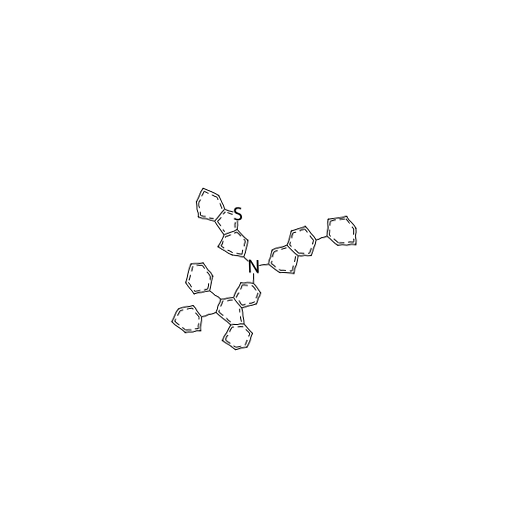 c1ccc(-c2ccc3cc(N(c4ccc5c(c4)sc4ccccc45)c4ccc5c(c4)c(-c4ccccc4)c(-c4ccccc4)c4ccccc45)ccc3c2)cc1